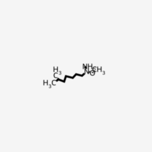 CON(N)CCCCCC(C)C